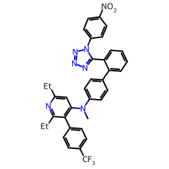 CCc1cc(N(C)c2ccc(-c3ccccc3-c3nnnn3-c3ccc([N+](=O)[O-])cc3)cc2)c(-c2ccc(C(F)(F)F)cc2)c(CC)n1